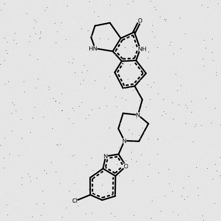 O=c1[nH]c2cc(CN3CCN(c4nc5cc(Cl)ccc5o4)CC3)ccc2c2c1CCCN2